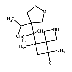 CC(C)C1(C(C)(C)C2(C)CC(C)(C)C23CNC3)CCOC1